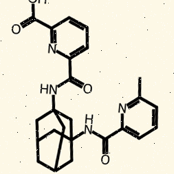 Cc1cccc(C(=O)NC23CC4CC(C2)CC(NC(=O)c2cccc(C(=O)O)n2)(C4)C3)n1